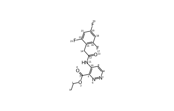 CCOC(=O)c1nnccc1NC(=O)Cc1c(F)cc(F)cc1F